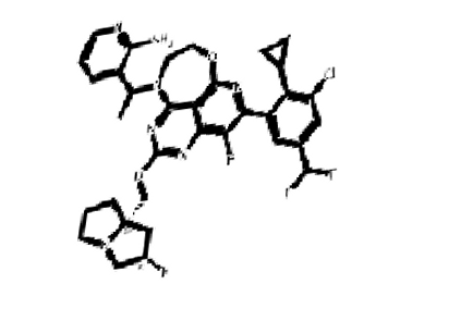 CC(c1cccnc1N)N1CCOc2nc(-c3cc(C(F)F)cc(Cl)c3C3CC3)c(F)c3nc(OC[C@@]45CCCN4C[C@H](F)C5)nc1c23